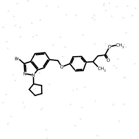 COC(=O)CC(C)c1ccc(OCc2ccc3c(Br)nn(C4CCCC4)c3c2)cc1